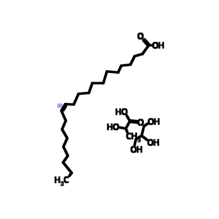 CC(O)C(=O)O.CCCCCCCC/C=C\CCCCCCCCCCCC(=O)O.OCC(O)CO